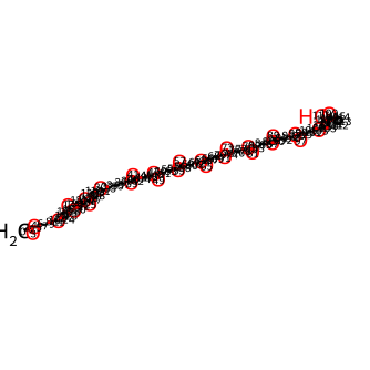 C=CC(=O)OCCCCCCOc1ccc(C(=O)Oc2ccc(OC(=O)c3ccc(OCCCCCCCCOC(=O)CCCCCOC(=O)CCCCCOC(=O)CCCCCOC(=O)CCCCCOC(=O)CCCCCOC(=O)CCCCCOC(=O)CCCCCOC(=O)CCCCCOc4ccc(C(=O)c5ccccc5)c(O)c4)cc3)cc2)cc1